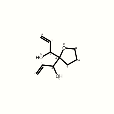 C=CC(O)C1(C(O)C=C)CCCO1